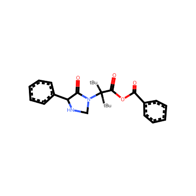 CC(C)(C)C(C(=O)OC(=O)c1ccccc1)(N1CNC(c2ccccc2)C1=O)C(C)(C)C